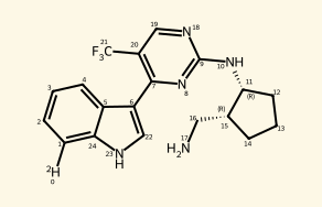 [2H]c1cccc2c(-c3nc(N[C@@H]4CCC[C@@H]4CN)ncc3C(F)(F)F)c[nH]c12